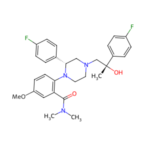 COc1ccc(N2CCN(C[C@@](C)(O)c3ccc(F)cc3)C[C@H]2c2ccc(F)cc2)c(C(=O)N(C)C)c1